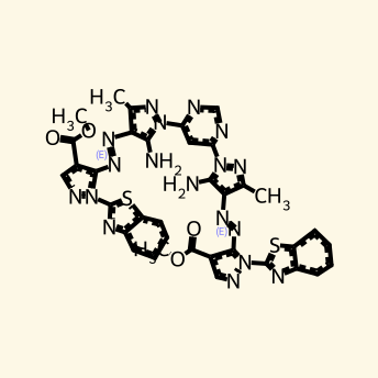 COC(=O)c1cnn(-c2nc3ccccc3s2)c1/N=N/c1c(C)nn(-c2cc(-n3nc(C)c(/N=N/c4c(C(=O)OC)cnn4-c4nc5ccccc5s4)c3N)ncn2)c1N